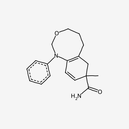 CC1(C(N)=O)C=CC2=C(CCCOCN2c2ccccc2)C1